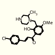 COc1ccc(C(=O)/C=C/c2ccc(Cl)cc2)c(O)c1CN1CCNCC1C